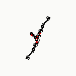 C=CC(=O)OCCCCCCOc1ccc(CCC(=O)O[C@H]2CC[C@H](C(=O)Oc3ccc(OC(=O)[C@H]4CC[C@H](OC(=O)CCc5ccc(OCCCCCCOC(=O)C=C)cc5)CC4)c4nc(-c5cc6ccccc6s5)ccc34)CC2)cc1